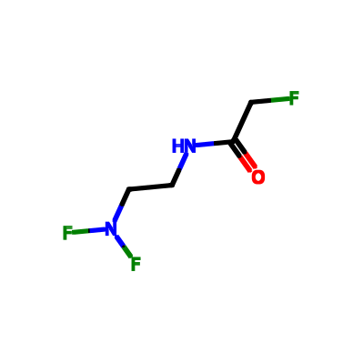 O=C(CF)NCCN(F)F